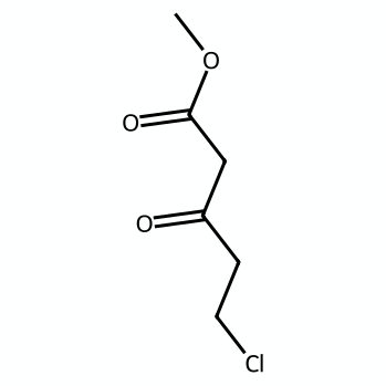 COC(=O)CC(=O)CCCl